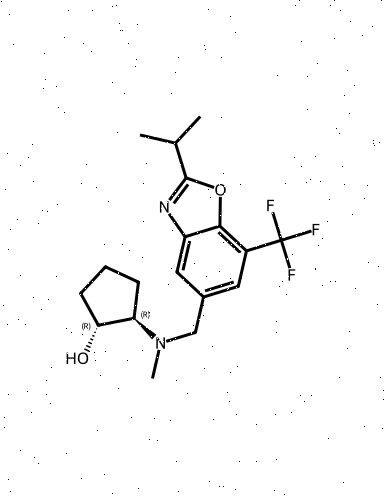 CC(C)c1nc2cc(CN(C)[C@@H]3CCC[C@H]3O)cc(C(F)(F)F)c2o1